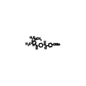 COc1ccc(C(=O)N[C@H]2CC[C@@H](Nc3cc(N(C)C)nc(C)n3)CC2)cc1